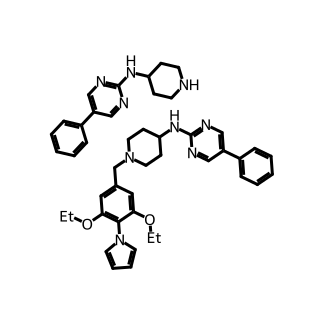 CCOc1cc(CN2CCC(Nc3ncc(-c4ccccc4)cn3)CC2)cc(OCC)c1-n1cccc1.c1ccc(-c2cnc(NC3CCNCC3)nc2)cc1